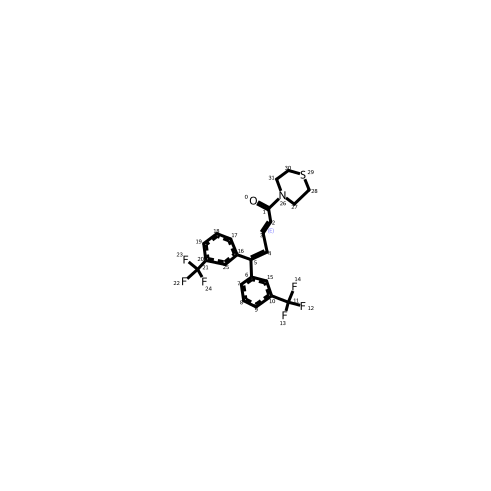 O=C(/C=C/C=C(c1cccc(C(F)(F)F)c1)c1cccc(C(F)(F)F)c1)N1CCSCC1